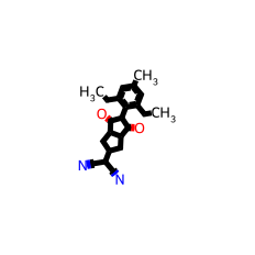 CCc1cc(C)cc(CC)c1C1C(=O)C2CC(C(C#N)C#N)CC2C1=O